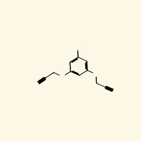 C#CCOc1cc(O)cc(OCC#C)c1